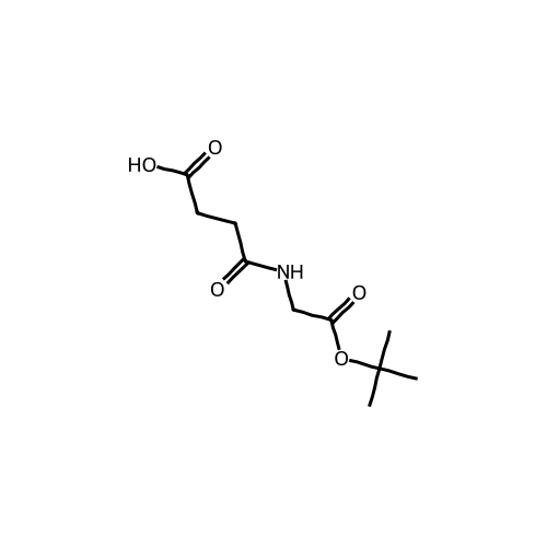 CC(C)(C)OC(=O)CNC(=O)CCC(=O)O